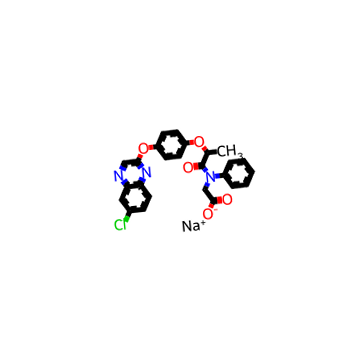 CC(Oc1ccc(Oc2cnc3cc(Cl)ccc3n2)cc1)C(=O)N(CC(=O)[O-])c1ccccc1.[Na+]